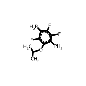 Bc1c(F)c(F)c(P)c(OC(C)C)c1F